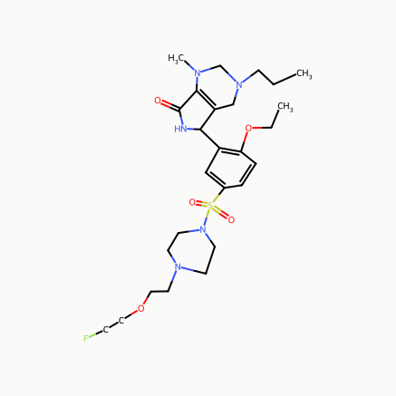 CCCN1CC2=C(C(=O)NC2c2cc(S(=O)(=O)N3CCN(CCOCCF)CC3)ccc2OCC)N(C)C1